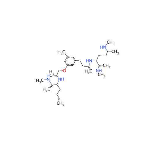 C=CCCC(NC(=C)COc1cc(C)cc(CCC(=C)NC(CCC(=C)NC)C(=C)NC)c1)C(=C)NC